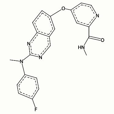 CNC(=O)c1cc(Oc2ccc3nc(N(C)c4ccc(F)cc4)ncc3c2)ccn1